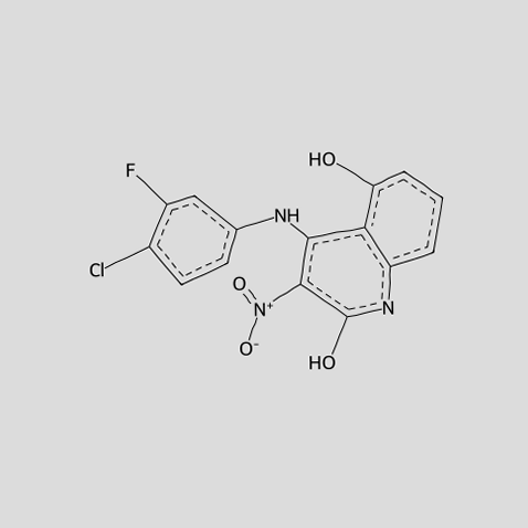 O=[N+]([O-])c1c(O)nc2cccc(O)c2c1Nc1ccc(Cl)c(F)c1